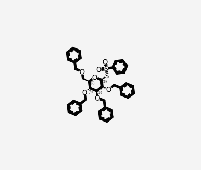 O=S(=O)(S[C@@H]1O[C@H](COCc2ccccc2)[C@@H](OCc2ccccc2)[C@H](OCc2ccccc2)[C@H]1OCc1ccccc1)c1ccccc1